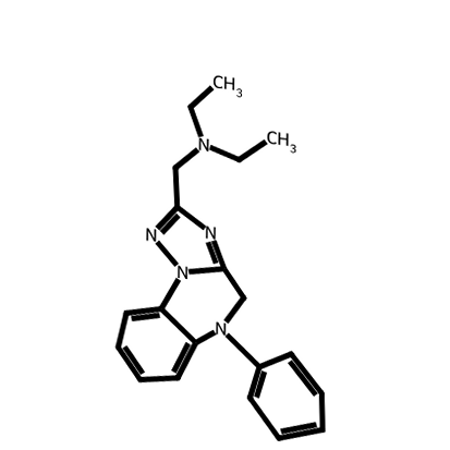 CCN(CC)Cc1nc2n(n1)-c1ccccc1N(c1ccccc1)C2